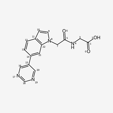 O=C(O)CNC(=O)Cn1ccc2ccc(-c3cncnc3)cc21